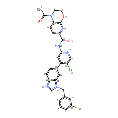 CC(C)(C)C(=O)N1CCOc2nc(C(=O)Nc3cc(-c4ccc5ncn(Cc6cccc(F)c6)c5c4)c(Cl)cn3)ccc21